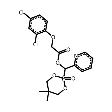 CC1(C)COP(=O)(C(OC(=O)COc2ccc(Cl)cc2Cl)c2ccccn2)OC1